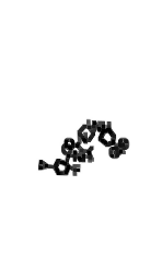 CC(C)C(NC(=O)c1cc(C2CC2)ccc1F)C(=O)N1CCC(C)(Nc2ccc(S(C)(=O)=O)cc2)CC1